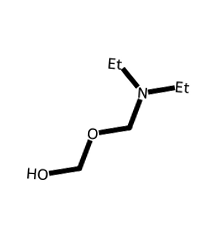 CCN(CC)COCO